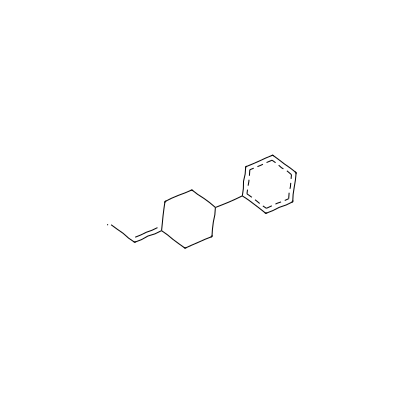 [CH2]C=C1CCC(c2ccccc2)CC1